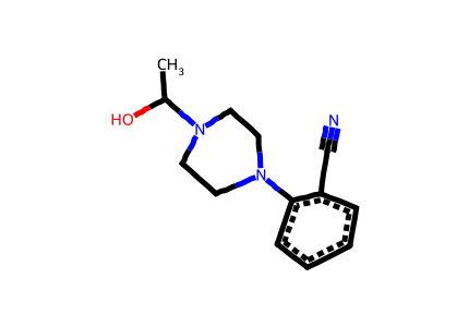 CC(O)N1CCN(c2ccccc2C#N)CC1